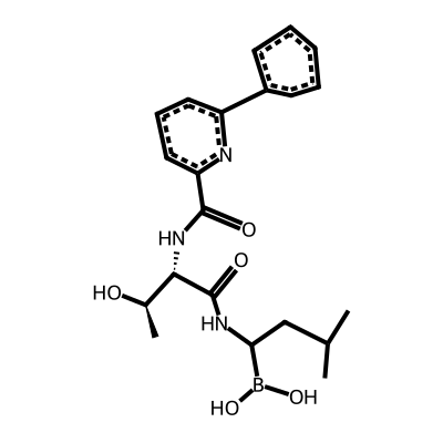 CC(C)CC(NC(=O)[C@@H](NC(=O)c1cccc(-c2ccccc2)n1)[C@@H](C)O)B(O)O